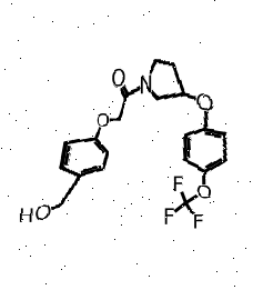 O=C(COc1ccc(CO)cc1)N1CCC(Oc2ccc(OC(F)(F)F)cc2)C1